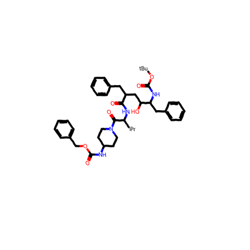 CC(C)C(NC(=O)C(Cc1ccccc1)CC(O)C(Cc1ccccc1)NC(=O)OC(C)(C)C)C(=O)N1CCC(NC(=O)OCc2ccccc2)CC1